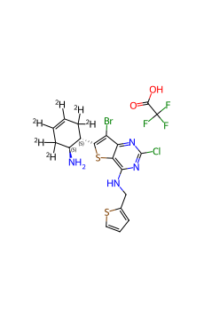 O=C(O)C(F)(F)F.[2H]C1=C([2H])C([2H])([2H])[C@H](c2sc3c(NCc4cccs4)nc(Cl)nc3c2Br)[C@@H](N)C1([2H])[2H]